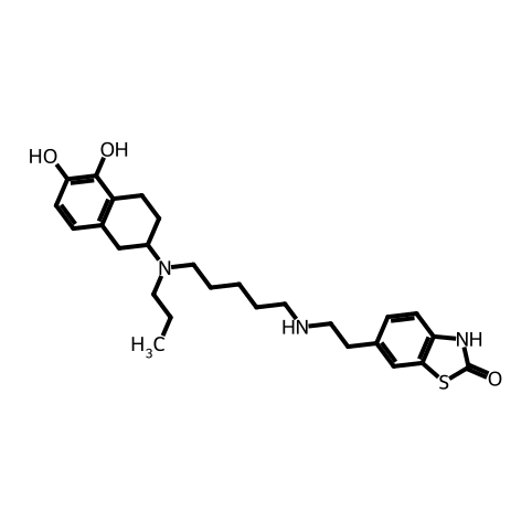 CCCN(CCCCCNCCc1ccc2[nH]c(=O)sc2c1)C1CCc2c(ccc(O)c2O)C1